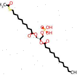 CCCCCCCCCCCCC(=O)O[C@H](COC(=O)CCCCCCCCCSC(C)=O)COP(=O)(O)O